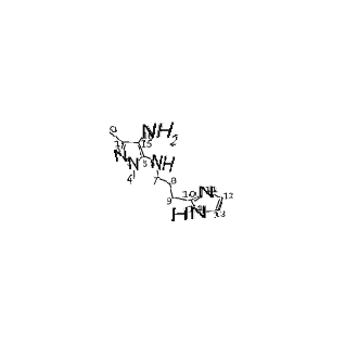 Cc1nn(C)c(NCCCc2ncc[nH]2)c1N